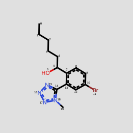 CCCCCC(O)c1ccc(Br)cc1-c1nnnn1C